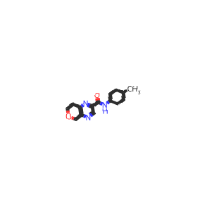 CC1CCC(NC(=O)c2cnc3c(n2)CCOC3)CC1